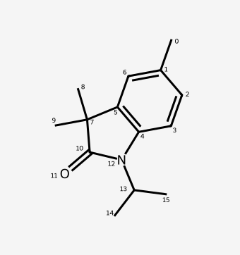 Cc1ccc2c(c1)C(C)(C)C(=O)N2C(C)C